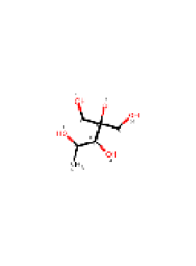 CC(O)[C@H](O)C(O)(CO)CO